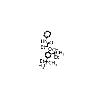 CCC(Oc1ccc(C(C)(C)CC)cc1C(C)(C)CC)C(=O)Nc1c[c]ccc1